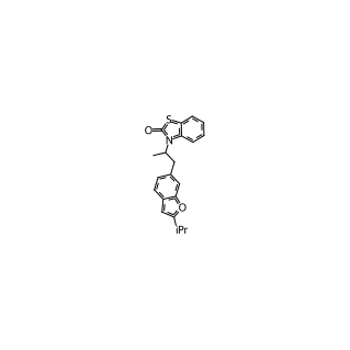 CC(C)c1cc2ccc(CC(C)n3c(=O)sc4ccccc43)cc2o1